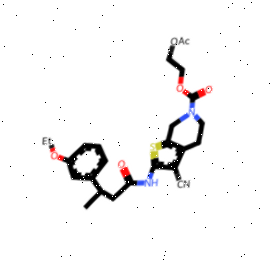 CCOc1cccc(C(C)CC(=O)Nc2sc3c(c2C#N)CCN(C(=O)OCCOC(C)=O)C3)c1